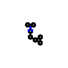 c1cc(-c2cnc(-n3c4ccccc4c4ccccc43)nc2)cc(-c2ccc3c4ccccc4c4ccccc4c3c2)c1